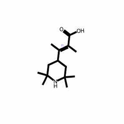 C/C(C(=O)O)=C(/C)C1CC(C)(C)NC(C)(C)C1